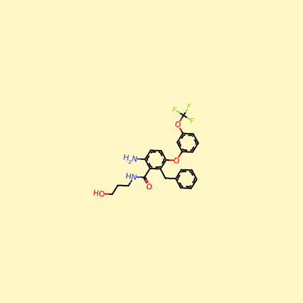 Nc1ccc(Oc2cccc(OC(F)(F)F)c2)c(Cc2ccccc2)c1C(=O)NCCCO